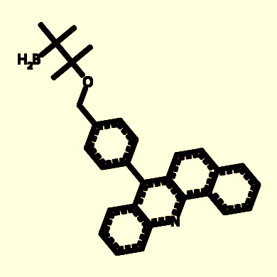 BC(C)(C)C(C)(C)OCc1ccc(-c2c3ccccc3nc3c2ccc2ccccc23)cc1